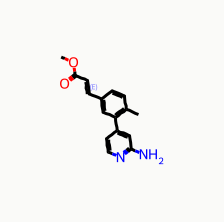 COC(=O)/C=C/c1ccc(C)c(-c2ccnc(N)c2)c1